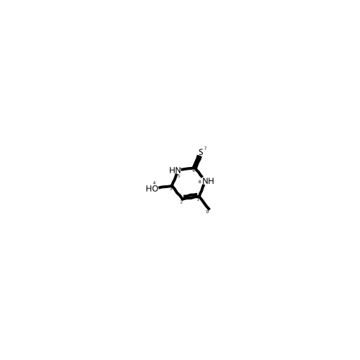 CC1=CC(O)NC(=S)N1